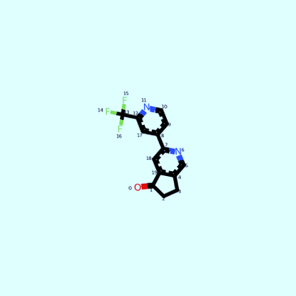 O=C1CCc2cnc(-c3ccnc(C(F)(F)F)c3)cc21